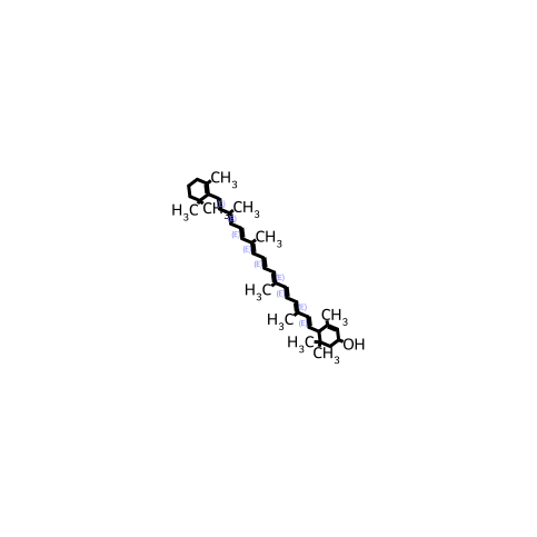 CC1=CC(O)CC(C)(C)C1/C=C/C(C)=C/C=C/C(C)=C/C=C/C=C(C)/C=C/C=C(C)/C=C/C1=C(C)CCCC1(C)C